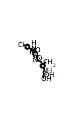 Cc1cc(NC[C@H](O)CO)ccc1CCS(=O)(=O)N1CCC2(CC1)N=C(c1ccc(Cl)cc1)NC2=O